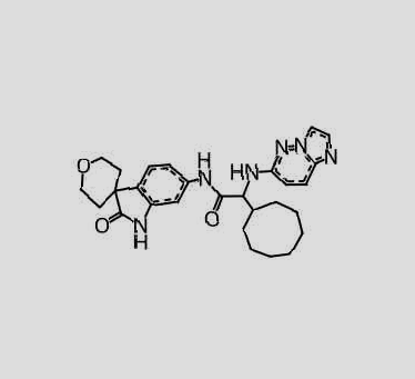 O=C(Nc1ccc2c(c1)NC(=O)C21CCOCC1)C(Nc1ccc2nccn2n1)C1CCCCCCC1